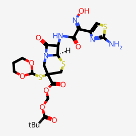 CC(C)(C)C(=O)OCOC(=O)C1(SC2OCCCO2)CS[C@@H]2C(NC(=O)C(=NO)c3csc(N)n3)C(=O)N2C1